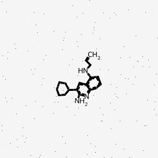 C=CCNc1cccc2nc(N)c(C3CCCCC3)cc12